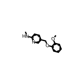 CNc1ccc(COc2ccccc2OC)cn1